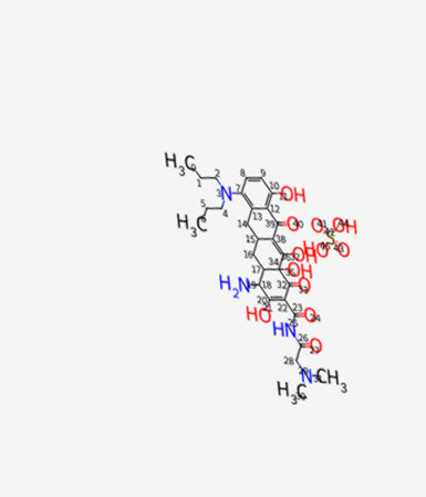 CCCN(CCC)c1ccc(O)c2c1CC1CC3C(N)C(O)=C(C(=O)NC(=O)CN(C)C)C(=O)C3(O)C(O)=C1C2=O.O=S(=O)(O)O